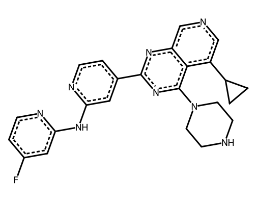 Fc1ccnc(Nc2cc(-c3nc(N4CCNCC4)c4c(C5CC5)cncc4n3)ccn2)c1